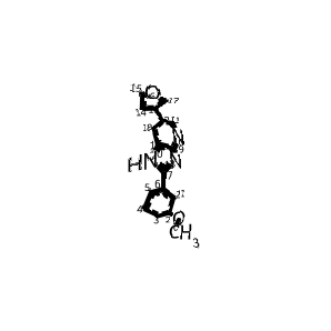 COc1cccc(-c2nc3ncc(-c4ccoc4)cc3[nH]2)c1